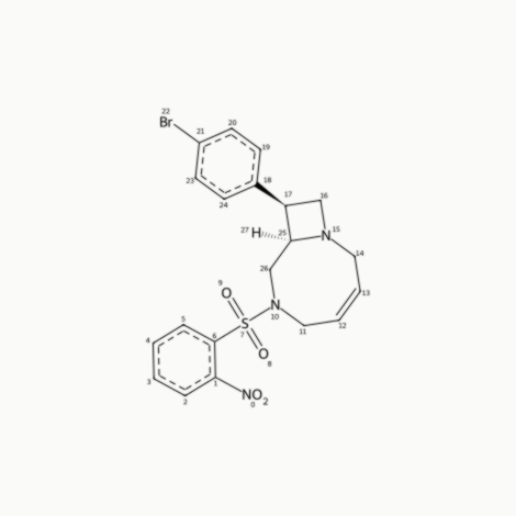 O=[N+]([O-])c1ccccc1S(=O)(=O)N1C/C=C\CN2C[C@H](c3ccc(Br)cc3)[C@@H]2C1